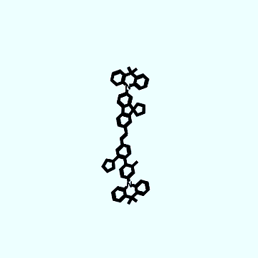 CC1C=C(N2c3ccccc3C(C)(C)c3ccccc32)C=CC1c1ccc(/C=C/c2ccc3c(c2)C2(CCCC2)c2cc(N4C5=C(C=CCC5)C(C)(C)c5ccccc54)ccc2-3)cc1C1CCCC1